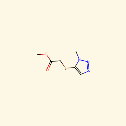 [CH2]OC(=O)CSc1cnnn1C